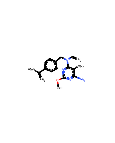 C=CN(Cc1ccc(C(=C)NC)cc1)c1nc(OCCC)nc(N)c1NC